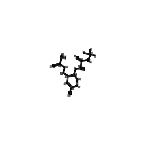 CC(C)(C)OC(=O)NCc1ccc(Cl)cc1CCC(=O)O